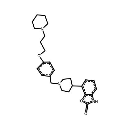 O=c1[nH]c2cccc(C3CCN(Cc4ccc(OCCCN5CCCCC5)cc4)CC3)c2o1